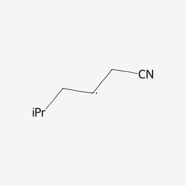 CC(C)C[CH]CC#N